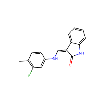 Cc1ccc(NC=C2C(=O)Nc3ccccc32)cc1F